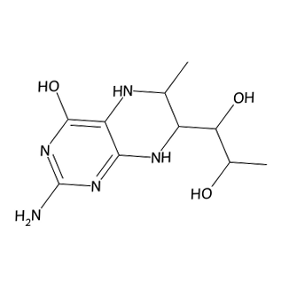 CC(O)C(O)C1Nc2nc(N)nc(O)c2NC1C